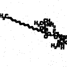 CCCCCCCCCCCCCCCCCCC(OC(=O)[C@@H](N)C(C)C)C(=O)OC[C@H]1O[C@@H](n2cnc3c(=O)[nH]c(N)nc32)CC1F